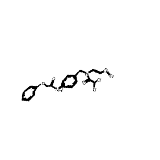 CCOCCN(Cc1ccc(NC(=O)COc2ccccc2)cc1)C(=O)C(Cl)Cl